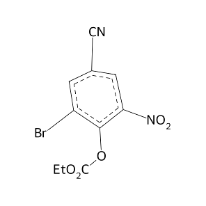 CCOC(=O)Oc1c(Br)cc(C#N)cc1[N+](=O)[O-]